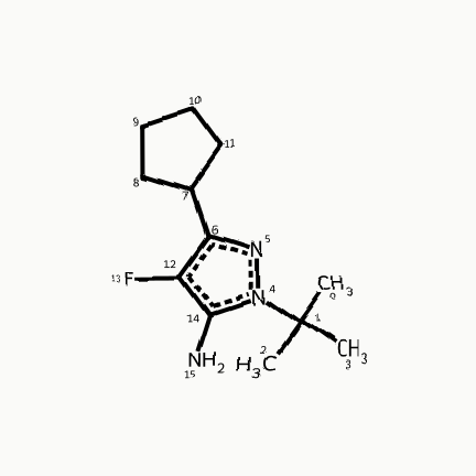 CC(C)(C)n1nc(C2CCCC2)c(F)c1N